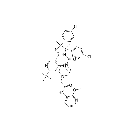 CCOc1cc(C(C)(C)C)ncc1C1=N[C@](C)(c2ccc(Cl)cc2)[C@@](C)(c2ccc(Cl)cc2)N1C(=O)N1CCN(CC(=O)Nc2cccnc2OC)CC1